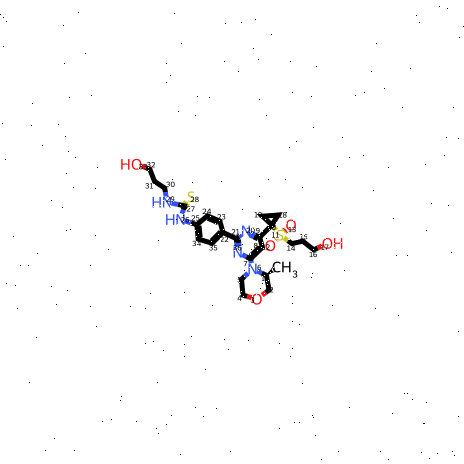 C[C@H]1COCCN1c1cc(C2(S(=O)(=O)CCCO)CC2)nc(-c2ccc(NC(=S)NCCCO)cc2)n1